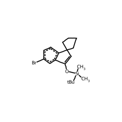 CC(C)(C)[Si](C)(C)OC1=CC2(CCCC2)c2ccc(Br)cc21